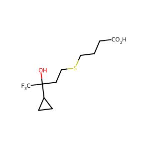 O=C(O)CCCSCCC(O)(C1CC1)C(F)(F)F